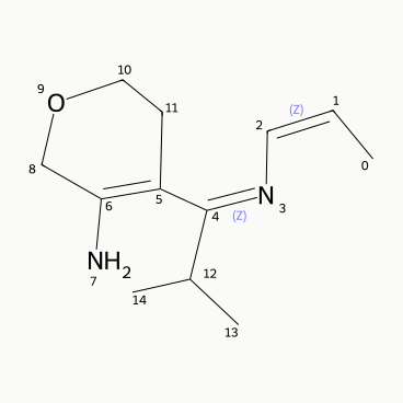 C/C=C\N=C(/C1=C(N)COCC1)C(C)C